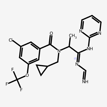 CC(/C(=N/C=N)Nc1ncccn1)N(CC1CC1)C(=O)c1cc(Cl)cc(OC(F)(F)F)c1